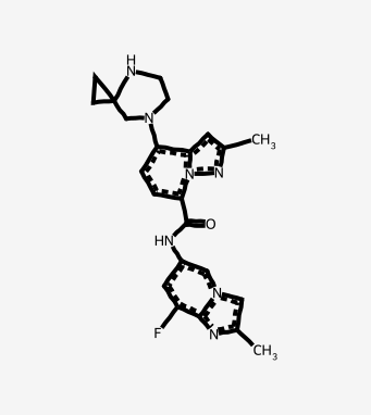 Cc1cn2cc(NC(=O)c3ccc(N4CCNC5(CC5)C4)c4cc(C)nn34)cc(F)c2n1